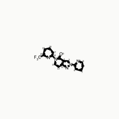 O=c1c2cn(-c3ccccn3)nc2ccn1-c1cccc(C(F)(F)F)n1